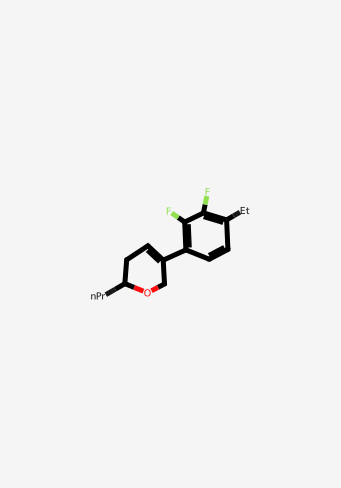 CCCC1CC=C(c2ccc(CC)c(F)c2F)CO1